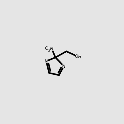 O=[N+]([O-])C1(CO)N=CC=N1